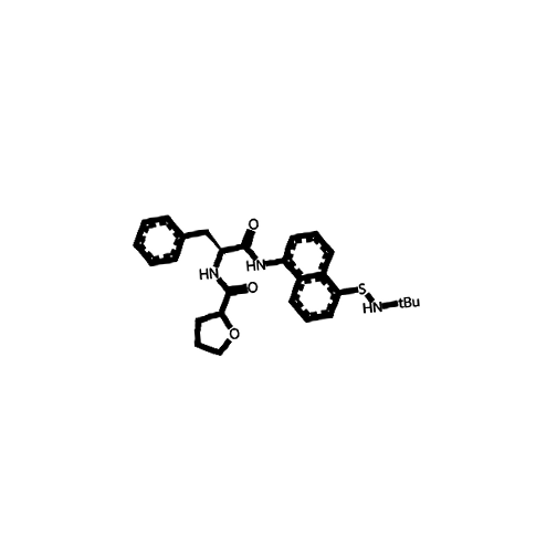 CC(C)(C)NSc1cccc2c(NC(=O)[C@H](Cc3ccccc3)NC(=O)C3CCCO3)cccc12